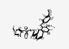 Cn1cnc(S(=O)(=O)NCc2ccc3c(c2)C(Cc2ccc(F)cc2)C(N)CC3)c1